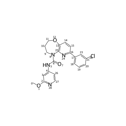 COc1cc(NC(=O)N2CCCOc3ccc(-c4cccc(Cl)c4)nc32)ccn1